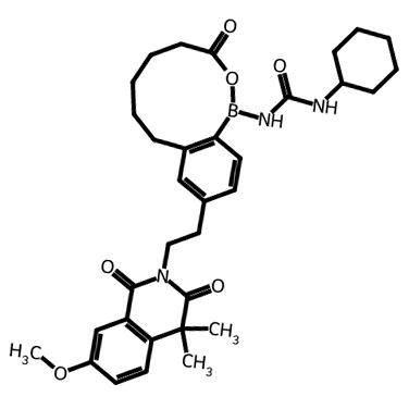 COc1ccc2c(c1)C(=O)N(CCc1ccc3c(c1)CCCCCC(=O)OB3NC(=O)NC1CCCCC1)C(=O)C2(C)C